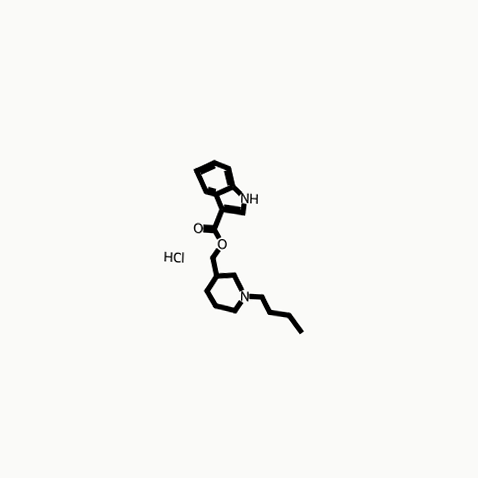 CCCCN1CCCC(COC(=O)c2c[nH]c3ccccc23)C1.Cl